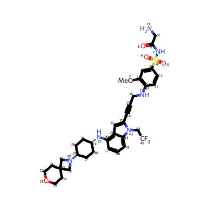 COc1cc(S(=O)(=O)NC(=O)CN)ccc1NCC#Cc1cc2c(N[C@H]3CC[C@H](N4CC5(CCOCC5)C4)CC3)cccc2n1CC(F)(F)F